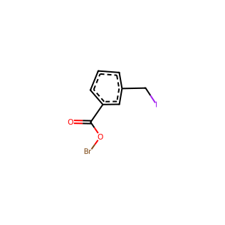 O=C(OBr)c1cccc(CI)c1